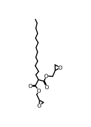 CCCCCCCCCCCCCC(C(=O)OCC1CO1)C(=O)OCC1CO1